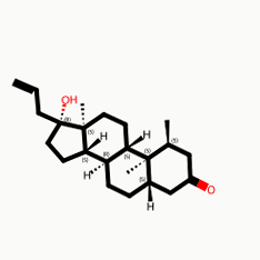 C=CC[C@]1(O)CC[C@H]2[C@@H]3CC[C@H]4CC(=O)C[C@H](C)[C@]4(C)[C@H]3CC[C@@]21C